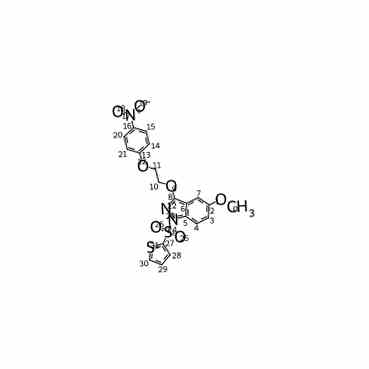 COc1ccc2c(c1)c(OCCOc1ccc([N+](=O)[O-])cc1)nn2S(=O)(=O)c1cccs1